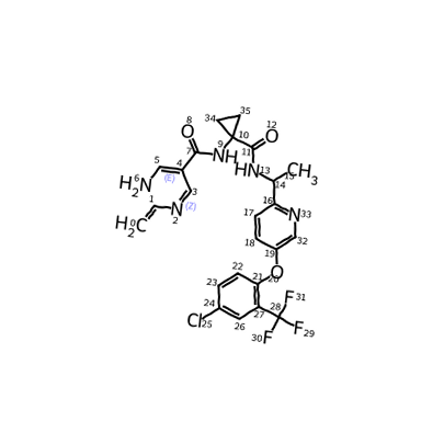 C=C/N=C\C(=C/N)C(=O)NC1(C(=O)NC(C)c2ccc(Oc3ccc(Cl)cc3C(F)(F)F)cn2)CC1